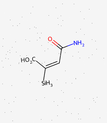 NC(=O)/C=C(/[SiH3])C(=O)O